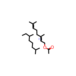 CC(=O)OC/C=C(\C)CCC=C(C)C.CCC(C)CCCC(C)C